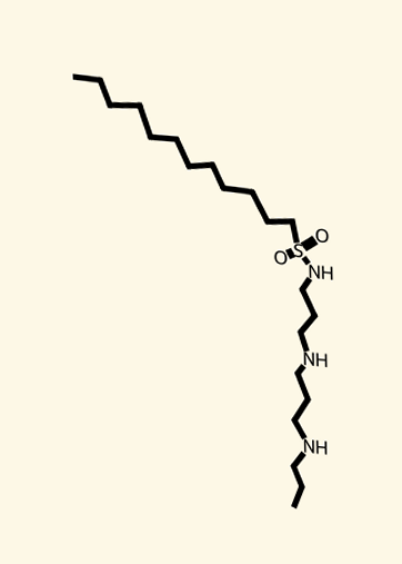 CCCCCCCCCCCCS(=O)(=O)NCCCNCCCNCCC